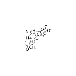 C[C@]12CC[C@H](OS(=O)(=O)[O-])C[C@@H]1CC[C@@H]1[C@@H]2CC[C@]2(C)C(=O)CC[C@@H]12.[Na+]